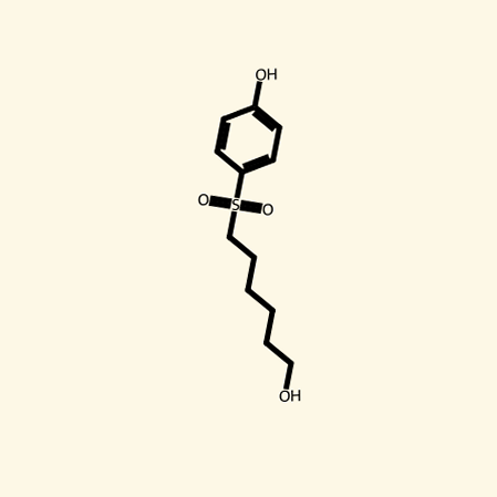 O=S(=O)(CCCCCCO)c1ccc(O)cc1